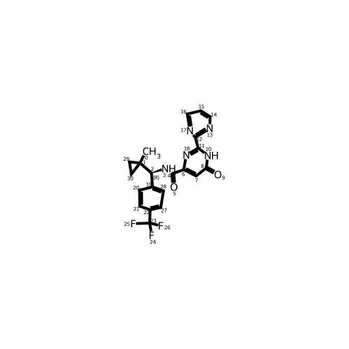 CC1([C@@H](NC(=O)c2cc(=O)[nH]c(-c3ncccn3)n2)c2ccc(C(F)(F)F)cc2)CC1